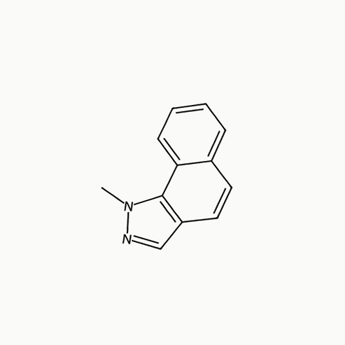 Cn1ncc2ccc3ccccc3c21